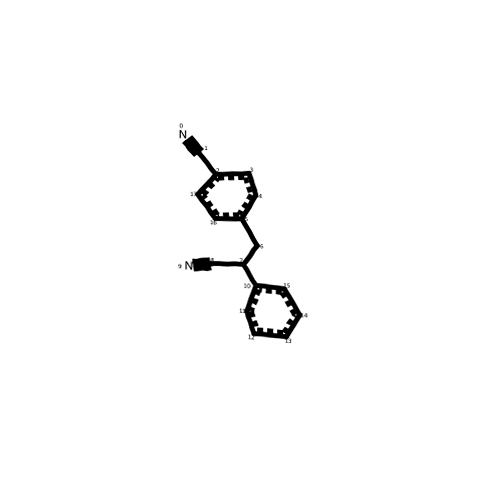 N#Cc1ccc(CC(C#N)c2ccccc2)cc1